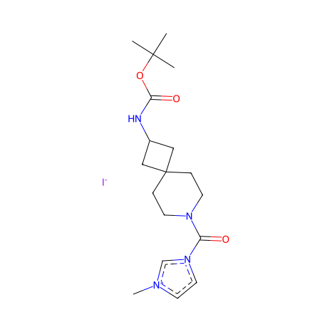 C[n+]1ccn(C(=O)N2CCC3(CC2)CC(NC(=O)OC(C)(C)C)C3)c1.[I-]